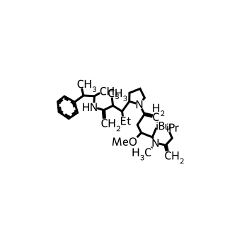 C=C(NC(C)C(C)c1ccccc1)C(C)C(CC)C1CCCN1C(=C)CC(OC)C(C(C)CC)N(C)C(=C)CC(C)C